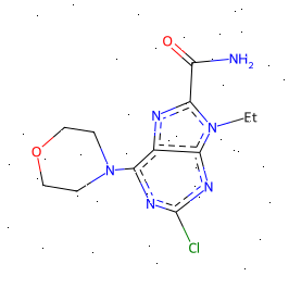 CCn1c(C(N)=O)nc2c(N3CCOCC3)nc(Cl)nc21